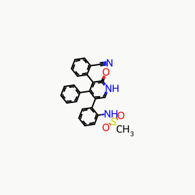 CS(=O)(=O)Nc1ccccc1-c1c[nH]c(=O)c(-c2ccccc2C#N)c1-c1ccccc1